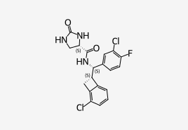 O=C1NC[C@@H](C(=O)N[C@H](c2ccc(F)c(Cl)c2)[C@H]2Cc3c(Cl)cccc32)N1